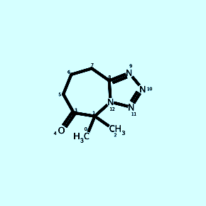 CC1(C)C(=O)CCCc2nnnn21